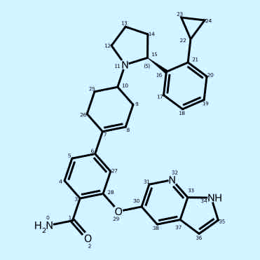 NC(=O)c1ccc(C2=CCC(N3CCC[C@H]3c3ccccc3C3CC3)CC2)cc1Oc1cnc2[nH]ccc2c1